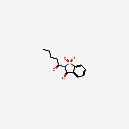 CCCCC(=O)N1C(=O)c2ccccc2S1(=O)=O